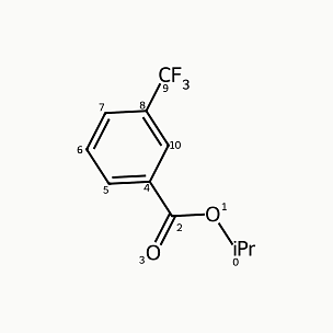 CC(C)OC(=O)c1cccc(C(F)(F)F)c1